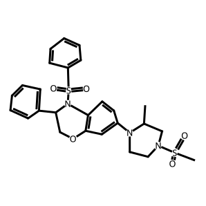 CC1CN(S(C)(=O)=O)CCN1c1ccc2c(c1)OCC(c1ccccc1)N2S(=O)(=O)c1ccccc1